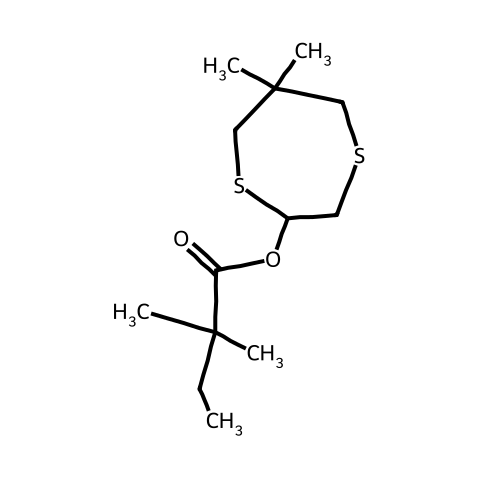 CCC(C)(C)C(=O)OC1CSCC(C)(C)CS1